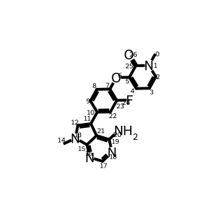 Cn1cccc(Oc2ccc(-c3cn(C)c4ncnc(N)c34)cc2F)c1=O